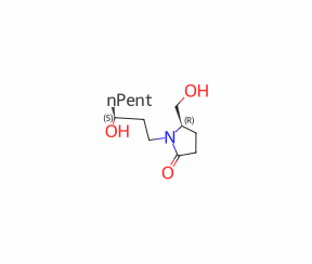 CCCCC[C@H](O)CCN1C(=O)CC[C@@H]1CO